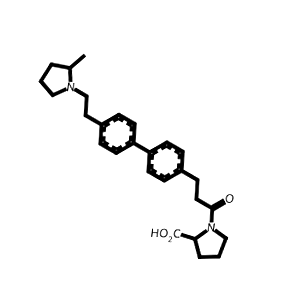 CC1CCCN1CCc1ccc(-c2ccc(CCC(=O)N3CCCC3C(=O)O)cc2)cc1